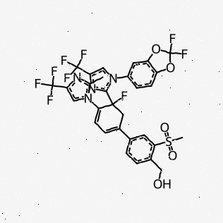 Cc1nc(C(F)(F)F)cn1C1=CC=C(c2ccc(CO)c(S(C)(=O)=O)c2)CC1(F)c1nc(C(F)(F)F)cn1-c1ccc2c(c1)OC(F)(F)O2